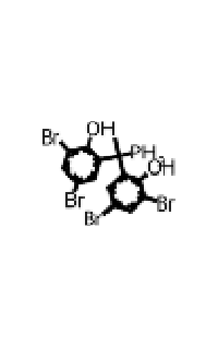 CC(P)(c1cc(Br)cc(Br)c1O)c1cc(Br)cc(Br)c1O